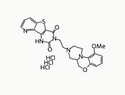 COc1cccc2c1N1CCN(CCn3c(=O)[nH]c4c(sc5cccnc54)c3=O)CC1CO2.Cl.Cl.Cl